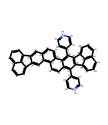 c1cc2c3c(cccc3c1)-c1cc3c(ccc4c3ccc3c(-c5ccncc5)c5c(c(-c6ccncc6)c34)-c3cccc4cccc-5c34)cc1-2